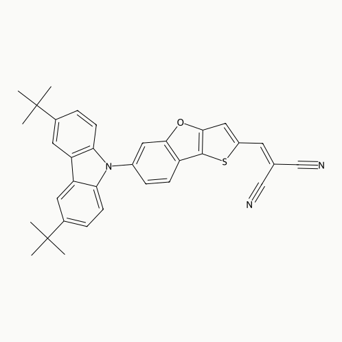 CC(C)(C)c1ccc2c(c1)c1cc(C(C)(C)C)ccc1n2-c1ccc2c(c1)oc1cc(C=C(C#N)C#N)sc12